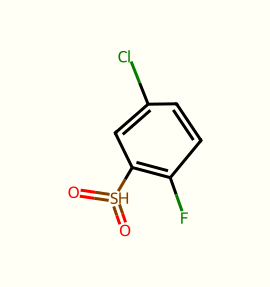 O=[SH](=O)c1cc(Cl)ccc1F